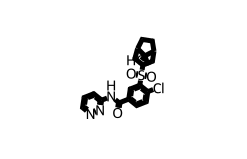 CC1(O)C2CCC1CC(S(=O)(=O)c1cc(C(=O)Nc3cccnn3)ccc1Cl)C2